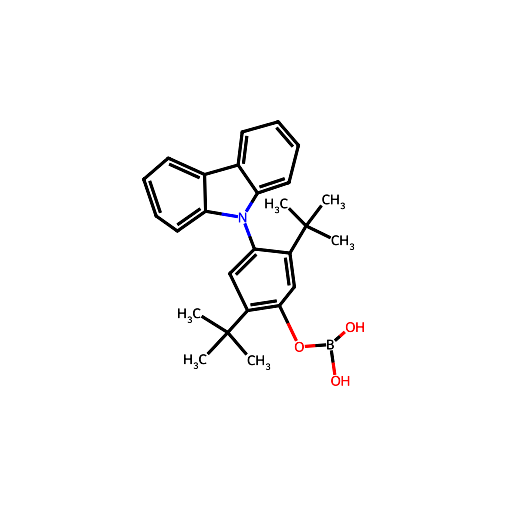 CC(C)(C)c1cc(-n2c3ccccc3c3ccccc32)c(C(C)(C)C)cc1OB(O)O